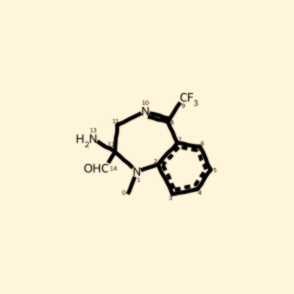 CN1c2ccccc2C(C(F)(F)F)=NCC1(N)C=O